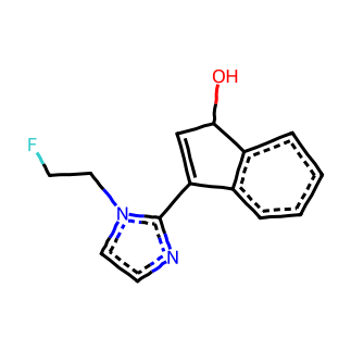 OC1C=C(c2nccn2CCF)c2ccccc21